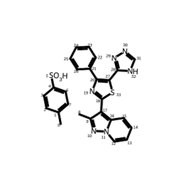 Cc1ccc(S(=O)(=O)O)cc1.Cc1nn2ccccc2c1-c1nc(-c2ccccc2)c(-c2nnc[nH]2)s1